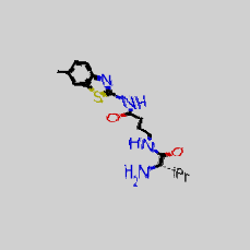 Cc1ccc2nc(NC(=O)CCCNC(=O)[C@@H](N)C(C)C)sc2c1